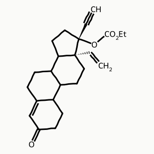 C#C[C@]1(OC(=O)OCC)CCC2C3CCC4=CC(=O)CCC4C3CC[C@@]21C=C